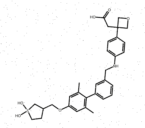 Cc1cc(OCC2CCS(O)(O)C2)cc(C)c1-c1cccc(CNc2ccc(C3(CC(=O)O)COC3)cc2)c1